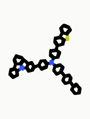 C1=CCCC(C2=CC=C(C3=CC=C(N(C4=CCC(c5ccc6c(c5)c5cccc7c8ccccc8n6c75)C=C4)c4ccc(-c5ccc6c(c5)sc5ccccc56)cc4)CC3)CC2)=C1